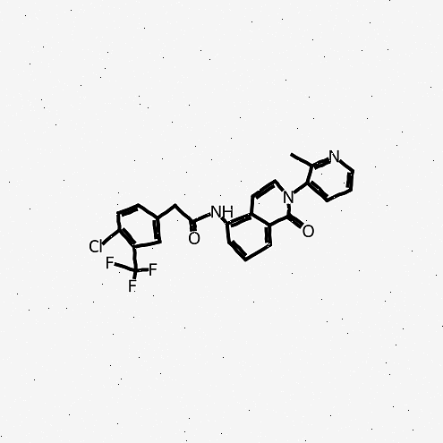 Cc1ncccc1-n1ccc2c(NC(=O)Cc3ccc(Cl)c(C(F)(F)F)c3)cccc2c1=O